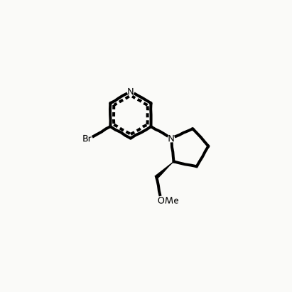 COC[C@@H]1CCCN1c1cncc(Br)c1